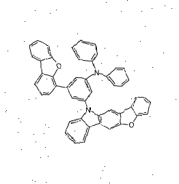 c1ccc(N(c2ccccc2)c2cc(-c3cccc4c3oc3ccccc34)cc(-n3c4ccccc4c4cc5oc6ccccc6c5cc43)c2)cc1